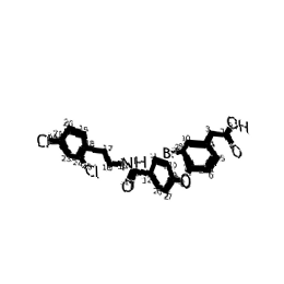 O=C(O)Cc1ccc(Oc2ccc(C(=O)NCCc3ccc(Cl)cc3Cl)cc2)c(Br)c1